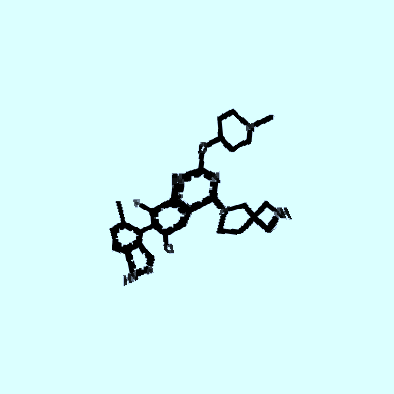 Cc1ccc2[nH]ncc2c1-c1c(Cl)cc2c(N3CCC4(CNC4)C3)nc(OC3CCN(C)CC3)nc2c1F